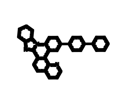 c1ccc(-c2ccc(-c3ccc4c(c3)c3c(ccc5cccnc53)c3nc5ccccc5n43)cc2)cc1